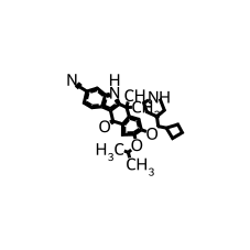 CC(C)Oc1cc2c(cc1OC(C1CCC1)C1CCNCC1)C(C)(C)c1[nH]c3cc(C#N)ccc3c1C2=O